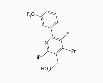 CC(C)c1nc(-c2cccc(C(F)(F)F)c2)c(F)c(C(C)C)c1CC(=O)O